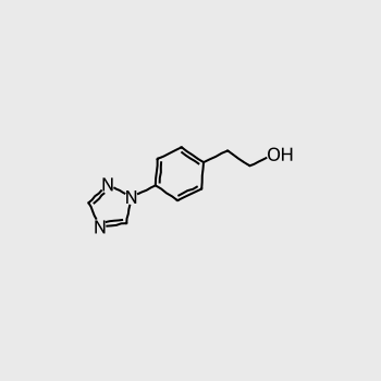 OCCc1ccc(-n2cncn2)cc1